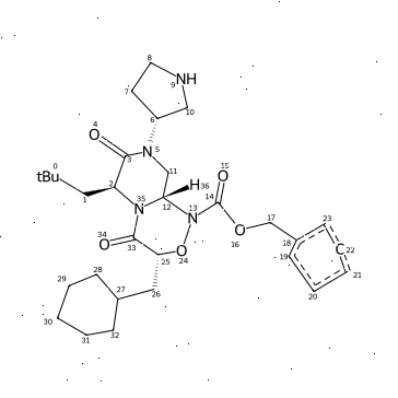 CC(C)(C)C[C@H]1C(=O)N([C@@H]2CCNC2)C[C@@H]2N(C(=O)OCc3ccccc3)O[C@H](CC3CCCCC3)C(=O)N21